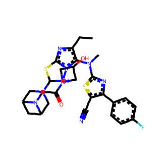 CCc1nc2n(c1N(C)c1nc(-c3ccc(F)cc3)c(C#N)s1)NC(N1CC3CC(C1)N3CC(=O)N1CC(O)C1)S2